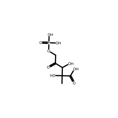 CC(O)(C(=O)O)C(O)C(=O)COP(=O)(O)O